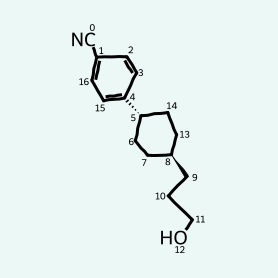 N#Cc1ccc([C@H]2CC[C@H](CCCO)CC2)cc1